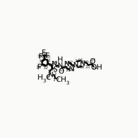 CCCN(C)Cc1sc(NC(=O)c2cnc(N3CCN(CCC(=O)O)CC3)cn2)nc1-c1cc(F)cc(C(F)(F)F)c1